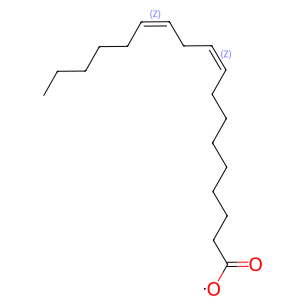 CCCCC/C=C\C/C=C\CCCCCCCC([O])=O